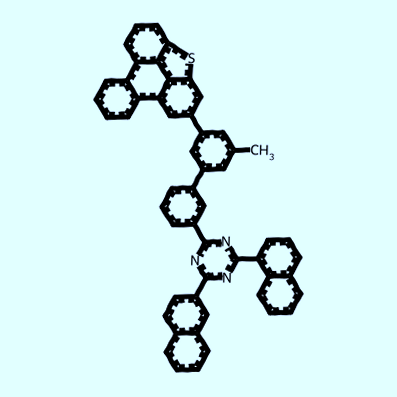 Cc1cc(-c2cccc(-c3nc(-c4ccc5ccccc5c4)nc(-c4cccc5ccccc45)n3)c2)cc(-c2cc3sc4cccc5c6ccccc6c(c2)c3c45)c1